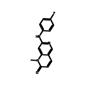 Cn1c(=O)ccc2cnc(Nc3ccc(F)cc3)cc21